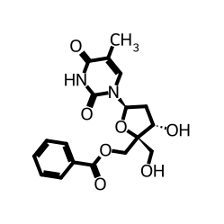 Cc1cn([C@H]2C[C@H](O)[C@](CO)(COC(=O)c3ccccc3)O2)c(=O)[nH]c1=O